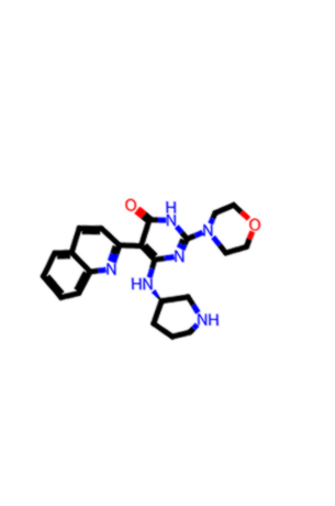 O=c1[nH]c(N2CCOCC2)nc(N[C@@H]2CCCNC2)c1-c1ccc2ccccc2n1